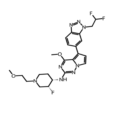 COCCN1CC[C@H](Nc2nc(OC)c3c(-c4ccc5nnn(CC(F)F)c5c4)ccn3n2)[C@H](F)C1